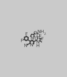 CC(NC(=O)c1cnc(C#N)c(-c2cc(F)cc(F)c2)c1N1CCC(OC(N)=O)C1)C(F)(F)F